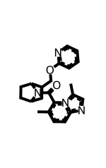 Cc1ccc2ncc(C)n2c1C(=O)N1C2CCC1C(COc1ccccn1)C2